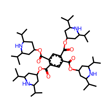 CC(C)C1CC(OC(=O)c2cc(C(=O)OC3CC(C(C)C)NC(C(C)C)C3)c(C(=O)OC3CC(C(C)C)NC(C(C)C)C3)cc2C(=O)OC2CC(C(C)C)NC(C(C)C)C2)CC(C(C)C)N1